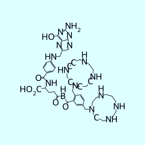 Nc1nc(O)c2nc(CNc3ccc(C(=O)NC(CCC(=O)BC(=O)c4cc(CN5CCCNCCNCCCNCC5)ccc4CN4CCCNCCNCCCNCC4)C(=O)O)cc3)cnc2n1